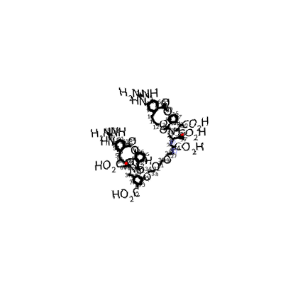 N=C(N)Nc1ccc2c(c1)CCCOc1c(cccc1C(=O)N(C/C(=C/C(=C\COCCOCCOc1cc(CN(C(=O)c3cccc4c3OCCCc3cc(NC(=N)N)ccc3C(=O)O4)[C@@H](CC(=O)O)C(=O)O)cc(C(=O)O)c1)C(=O)O)C1=CC1)[C@@H](CC(=O)O)C(=O)O)OC2=O